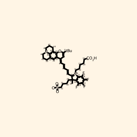 CC(C)(C)C1=C\C(=C/C=C/C=C/C2=[N+](CCCCCC(=O)O)c3c(F)c(F)c(F)c(F)c3C2(C)CCCCS(=O)(=O)[O-])c2cc3c4c(c2O1)CCCN4CCC3